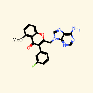 COc1cccc2oc(Cn3cnc4c(N)ncnc43)c(-c3cccc(F)c3)c(=O)c12